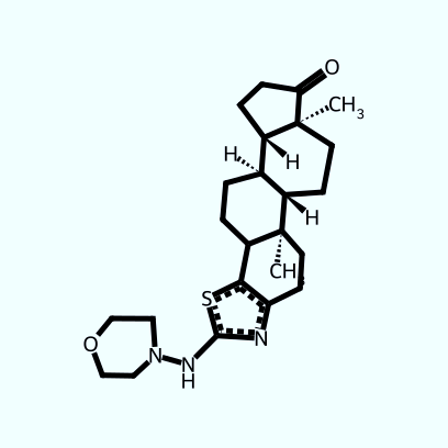 C[C@]12CCc3nc(NN4CCOCC4)sc3C1CC[C@@H]1[C@@H]2CC[C@]2(C)C(=O)CC[C@@H]12